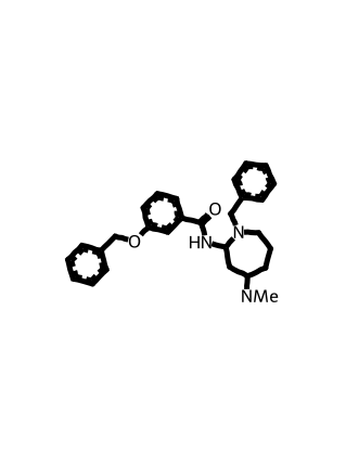 CNC1CCCN(Cc2ccccc2)C(NC(=O)c2cccc(OCc3ccccc3)c2)C1